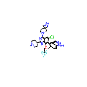 Cc1ccc2[nH]ncc2c1-c1c(Cl)cc2c(N3CCC4(CC3)CNC4)nc(C3CCN(C)CC3)nc2c1OCC(F)(F)F